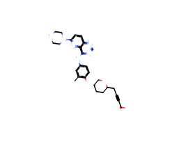 Cc1cc(Nc2ncnc3ccc(N4CCNCC4)nc23)ccc1O[C@H]1CCC(CC#CC(=O)O)OC1